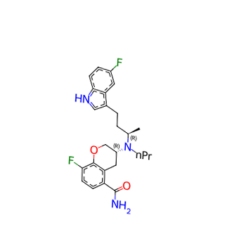 CCCN([C@H]1COc2c(F)ccc(C(N)=O)c2C1)[C@H](C)CCc1c[nH]c2ccc(F)cc12